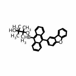 CC(C)(O)C(C)(C)OBc1c2ccccc2c(-c2ccc3oc4ccccc4c3c2)c2ccccc12